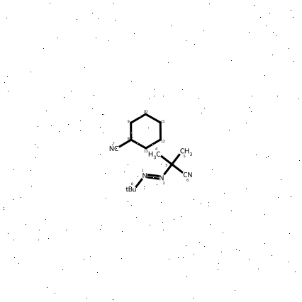 CC(C)(C)N=NC(C)(C)C#N.N#CC1CCCCC1